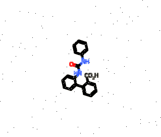 O=C(Nc1ccccc1)Nc1ccccc1-c1ccccc1C(=O)O